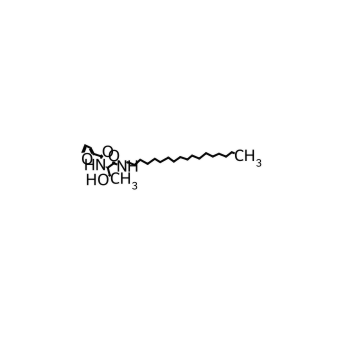 CCCCCCCCCCCCCCCCCCNC(=O)[C@@H](NC(=O)c1ccco1)[C@@H](C)O